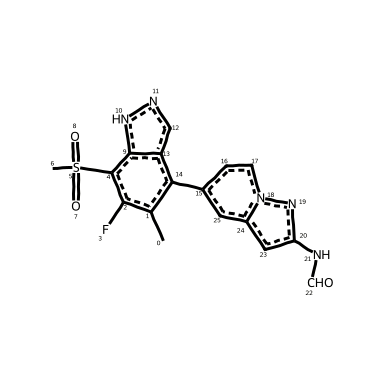 Cc1c(F)c(S(C)(=O)=O)c2[nH]ncc2c1-c1ccn2nc(NC=O)cc2c1